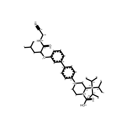 CC(C)CC(Oc1cccc(-c2ccc(N3CCN(C(=O)O)C([Si](C(C)C)(C(C)C)C(C)C)C3)cc2)c1)C(=O)NCC#N